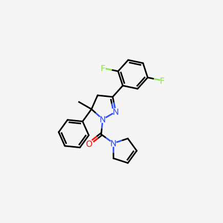 CC1(c2ccccc2)CC(c2cc(F)ccc2F)=NN1C(=O)N1CC=CC1